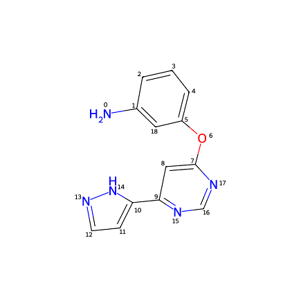 Nc1cccc(Oc2cc(-c3ccn[nH]3)ncn2)c1